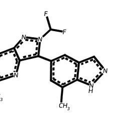 Cc1ccc2nn(C(F)F)c(-c3cc(C)c4[nH]ncc4c3)c2n1